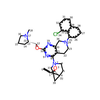 C=CC(=O)[C@@]12CCN(c3nc(OC[C@@H]4CCCN4C)nc4c3CCN(c3cccc5cccc(Cl)c35)C4)CC1C2